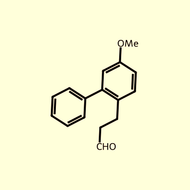 COc1ccc(CCC=O)c(-c2ccccc2)c1